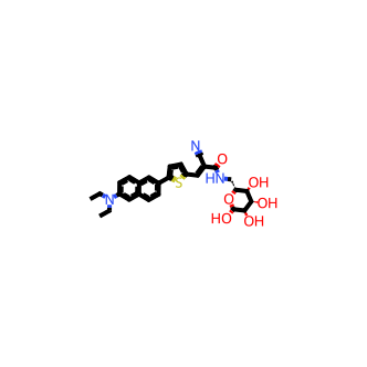 CCN(CC)c1ccc2cc(-c3ccc(/C=C(\C#N)C(=O)NC[C@H]4OC(O)[C@H](O)[C@@H](O)[C@@H]4O)s3)ccc2c1